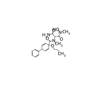 CCCOC1(C(=O)N(C)C(C(N)=O)C(=O)N(C)O)C=CC(c2ccccc2)C=C1